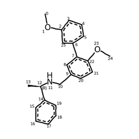 COc1cccc(-c2cc(CN[C@H](C)c3ccccc3)ccc2OC)c1